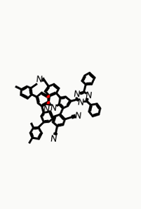 Cc1ccc(-c2ccc3c(c2)c2cc(-c4ccc(C)cc4C)ccc2n3-c2c(-c3ccc(C#N)cc3C#N)cc(-c3nc(-c4ccccc4)nc(-c4ccccc4)n3)cc2-c2ccc(C#N)cc2C#N)c(C)c1